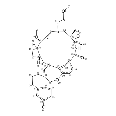 COCC[C@H]1/C=C/[C@H](OC)[C@@H]2CC[C@H]2CN2C[C@@]3(CCCc4cc(Cl)ccc43)COc3ccc(cc32)C(=O)NS(=O)(=O)[C@H](C)C1